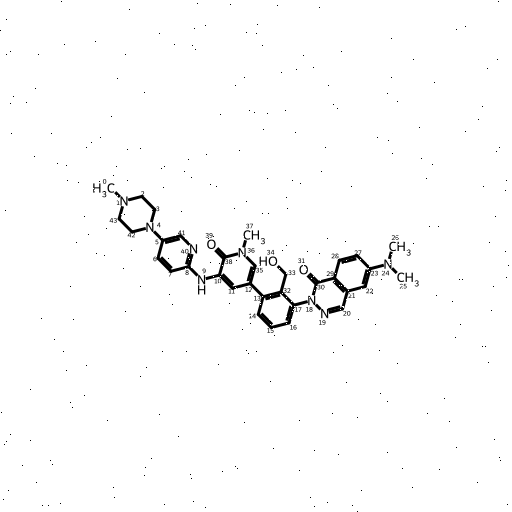 CN1CCN(c2ccc(Nc3cc(-c4cccc(-n5ncc6cc(N(C)C)ccc6c5=O)c4CO)cn(C)c3=O)nc2)CC1